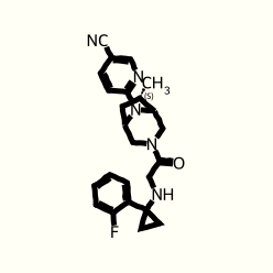 C[C@H]1CC2CN(C(=O)CNC3(c4ccccc4F)CC3)CC1N2c1ccc(C#N)cn1